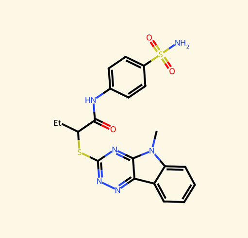 CCC(Sc1nnc2c3ccccc3n(C)c2n1)C(=O)Nc1ccc(S(N)(=O)=O)cc1